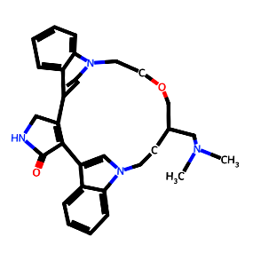 CN(C)CC1CCn2cc(c3ccccc32)C2=C(CNC2=O)c2cn(c3ccccc23)CCOC1